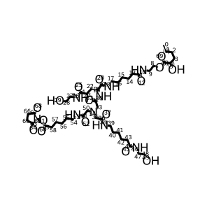 C[C@H]1CC[C@H](O)[C@H](OCCNC(=O)CCCCCNC(=O)[C@H](CCC(=O)NCCO)NC(=O)CN(CC(=O)NCCCCCC(=O)NCCO)CC(=O)NCCCCCC(=O)ON2C(=O)CCC2=O)O1